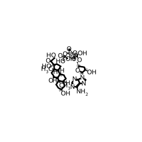 C[C@]12CC[C@@H](O)C[C@H]1CC[C@@H]1[C@@H]2C(=O)C[C@@]2(C)[C@H]1CC[C@]2(O)C(=O)CO.Nc1ncnc2c1ncn2[C@@H]1O[C@H](COP(=O)(O)OP(=O)(O)OP(=O)(O)O)C[C@H]1O